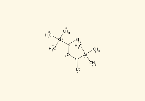 CCC(OC(CC)[Si](C)(C)C)[Si](C)(C)C